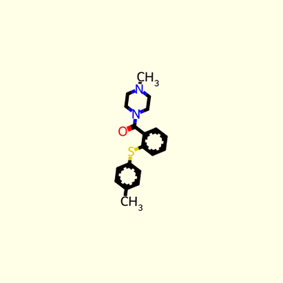 Cc1ccc(Sc2ccccc2C(=O)N2CCN(C)CC2)cc1